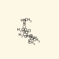 CNC1CN(C2CCC(C3(C)Oc4c(Cl)cc(C(=O)NCc5c(SC)cc(C)[nH]c5=O)c(C)c4O3)CC2)C1